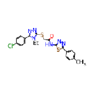 CCn1c(SCC(=O)Nc2nnc(-c3ccc(C)cc3)s2)nnc1-c1ccc(Cl)cc1